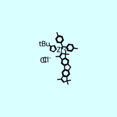 CC1=CC(C)(C)c2cc3c(cc21)-c1cc2c(cc1C3)C(C)(C)[C]([Zr+2]([C]1=CC(C(C)(C)C)=CC1)=[C](c1ccc(C)cc1)c1ccc(C)cc1)=C2C.[Cl-].[Cl-]